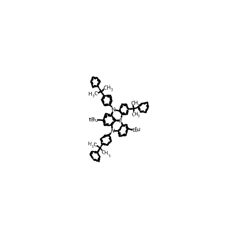 CC(C)(C)c1ccc2c(c1)B1c3cc(C(C)(C)c4ccccc4)ccc3N(c3ccc(C(C)(C)c4ccccc4)cc3)c3cc(C(C)(C)C)cc(c31)N2c1ccc(C(C)(C)c2ccccc2)cc1